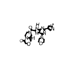 Cn1cc(-c2nc(N3CCOCC3)c3nc(C(=O)N4CCN5C(=O)COC[C@H]5C4)[nH]c3n2)cn1